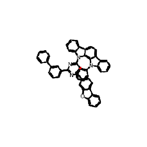 c1ccc(-c2cccc(-c3nc(-c4ccc5c(c4)oc4ccccc45)cc(-n4c5ccccc5c5ccc6c7ccccc7n(-c7ccccc7)c6c54)n3)c2)cc1